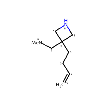 C=CCCC1(CNC)CNC1